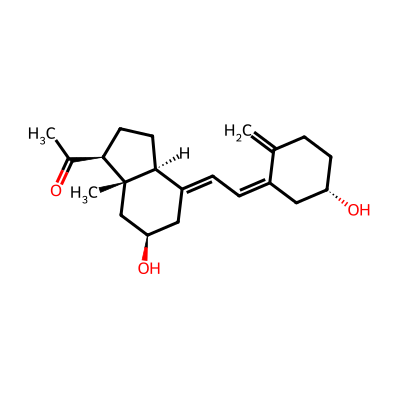 C=C1CC[C@H](O)C/C1=C/C=C1\C[C@@H](O)C[C@]2(C)[C@@H](C(C)=O)CC[C@@H]12